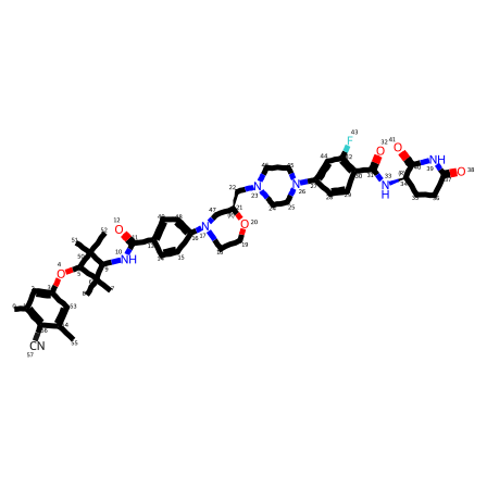 Cc1cc(OC2C(C)(C)C(NC(=O)c3ccc(N4CCO[C@H](CN5CCN(c6ccc(C(=O)N[C@@H]7CCC(=O)NC7=O)c(F)c6)CC5)C4)cc3)C2(C)C)cc(C)c1C#N